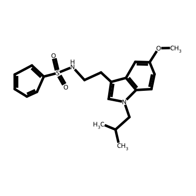 COc1ccc2c(c1)c(CCNS(=O)(=O)c1ccccc1)cn2CC(C)C